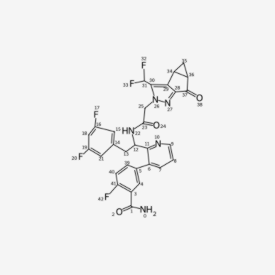 NC(=O)c1cc(-c2cccnc2C(Cc2cc(F)cc(F)c2)NC(=O)Cn2nc3c(c2C(F)F)C2CC2C3=O)ccc1F